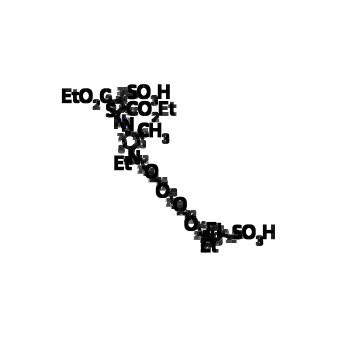 CCOC(=O)c1sc(/N=N/c2ccc(N(CC)CCOCCOCCOCCOCC[N+](CC)(CC)CCCS(=O)(=O)O)cc2C)c(C(=O)OCC)c1CS(=O)(=O)O